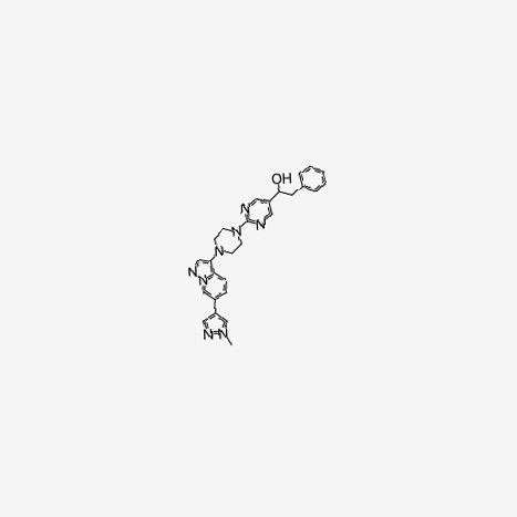 Cn1cc(-c2ccc3c(N4CCN(c5ncc(C(O)Cc6ccccc6)cn5)CC4)cnn3c2)cn1